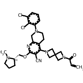 C=CC(=O)N1CC2(C1)CN(c1c(C#N)c(OC[C@@H]3CCCN3C)nc3c1CCN(c1cccc(Cl)c1Cl)C3)C2